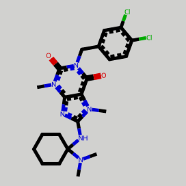 CN(C)C1(Nc2nc3c(c(=O)n(Cc4ccc(Cl)c(Cl)c4)c(=O)n3C)n2C)CCCCC1